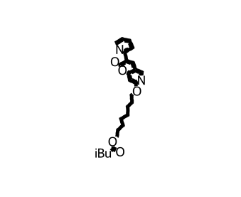 CCC(C)C(=O)OCCCCCCCCOc1cc2oc(=O)c(-c3ccccn3)cc2cn1